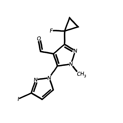 Cn1nc(C2(F)CC2)c(C=O)c1-n1ccc(I)n1